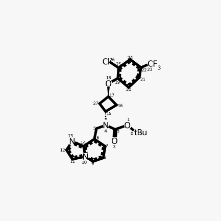 CC(C)(C)OC(=O)N(Cc1cccn2ccnc12)[C@H]1C[C@H](Oc2ccc(C(F)(F)F)cc2Cl)C1